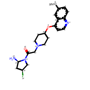 COc1ccc2nccc(OC3CCN(CC(=O)N4C[C@@H](F)C[C@H]4N)CC3)c2c1